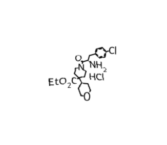 CCOC(=O)C1(C2CCOCC2)CCN(C(=O)[C@@H](N)Cc2ccc(Cl)cc2)CC1.Cl